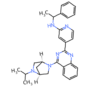 CC(Nc1cc(-c2nc(N3C[C@@H]4C[C@H]3CN4C(C)C)c3ccccc3n2)ccn1)c1ccccc1